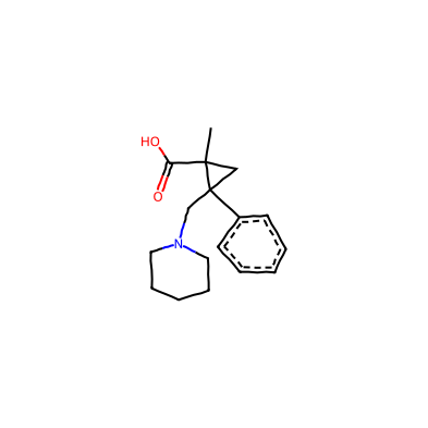 CC1(C(=O)O)CC1(CN1CCCCC1)c1ccccc1